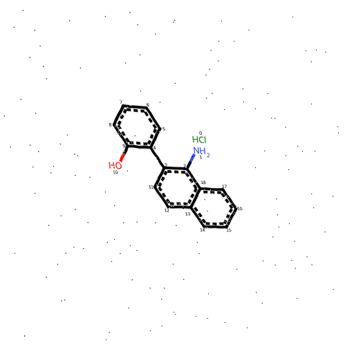 Cl.Nc1c(-c2ccccc2O)ccc2ccccc12